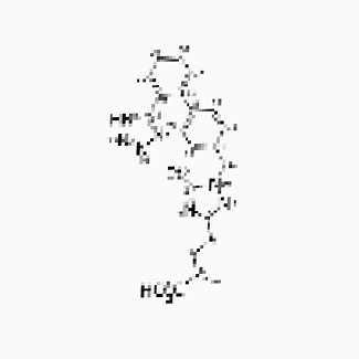 CCc1nc(CCC(C)C(=O)O)nn1Cc1ccc(-c2ccccc2-c2nnn[nH]2)cc1